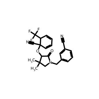 CC1(C)CN(Cc2cccc(C#N)c2)C(=O)C1OC1(C#N)C=CC=CC1C(F)(F)F